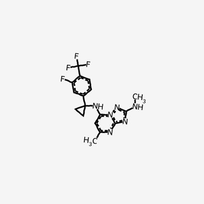 CNc1nc2nc(C)cc(NC3(c4ccc(C(F)(F)F)c(F)c4)CC3)n2n1